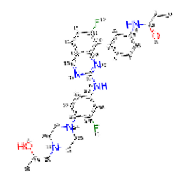 C=CC(=O)Nc1cccc(-c2c(F)ccc3cnc(Nc4ccc(N5CCN(CC(C)O)CC5)c(F)c4)nc23)c1